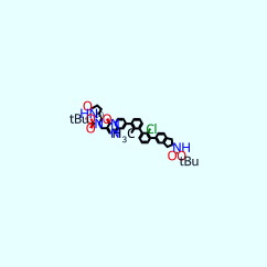 Cc1c(-c2ccn3c(=O)c(CN(C[C@@H]4CCC(=O)N4)C(=O)OC(C)(C)C)cnc3c2)cccc1-c1cccc(-c2ccc3c(c2)CC(NC(=O)OC(C)(C)C)C3)c1Cl